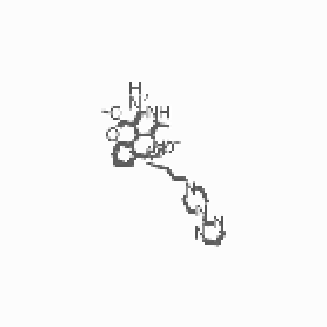 COC(=O)C1=C(N)NC(C)=C([N+](=O)[O-])C1c1ccccc1[S+]([O-])CCCCN1CCN(c2ncccn2)CC1